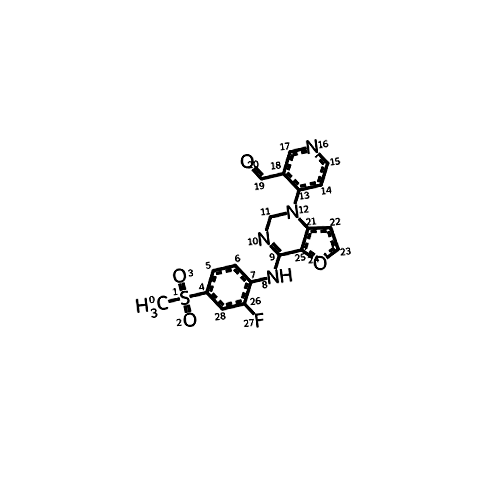 CS(=O)(=O)c1ccc(NC2=NCN(c3ccncc3C=O)c3ccoc32)c(F)c1